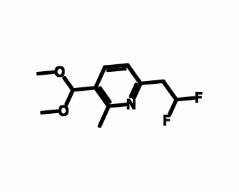 COC(OC)c1ccc(CC(F)F)nc1C